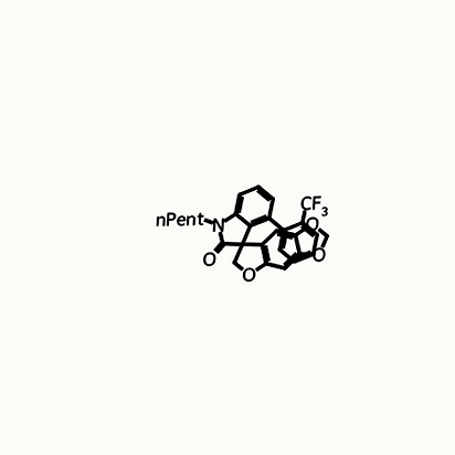 CCCCCN1C(=O)C2(COc3cc4c(cc32)OCO4)c2c(-c3ccccc3C(F)(F)F)cccc21